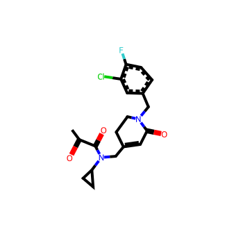 CC(=O)C(=O)N(CC1=CC(=O)N(Cc2ccc(F)c(Cl)c2)CC1)C1CC1